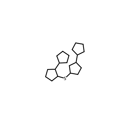 C1CCC(C2CCC(SC3CCCC3C3CCCC3)C2)C1